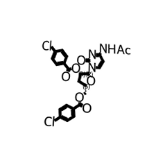 CC(=O)Nc1ccn([C@@H]2O[C@H](COC(=O)c3ccc(Cl)cc3)C[C@H]2OC(=O)c2ccc(Cl)cc2)c(=O)n1